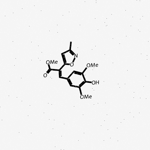 COC(=O)C(=Cc1cc(OC)c(O)c(OC)c1)c1cc(C)no1